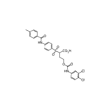 Cc1ccc(C(=O)Nc2ccc(S(=O)(=O)C(CCOC(=O)Nc3ccc(Cl)c(Cl)c3)C(=O)O)cc2)cc1